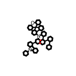 c1ccc(-c2ccccc2-c2ccccc2-c2ccccc2N(c2cccc(-c3cccc4c3c3ccccc3n4-c3ccccc3)c2)c2cccc3c2-c2ccccc2C32c3ccccc3Oc3ccccc32)cc1